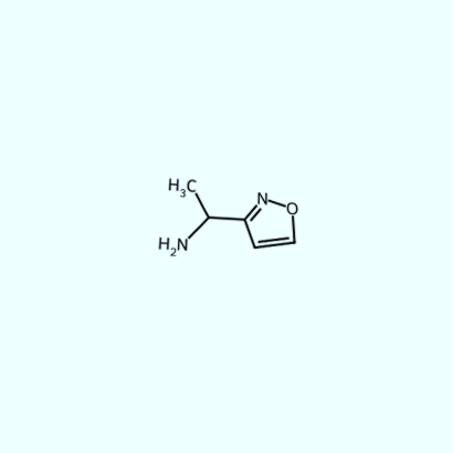 CC(N)c1ccon1